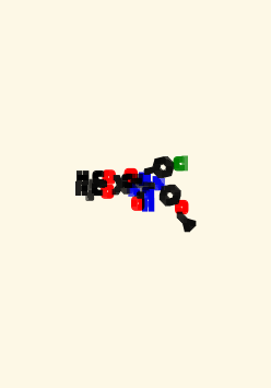 CC1(Cn2c(=O)[nH]/c(=N\c3ccc(OCC4CC4)cc3)n(Cc3ccc(Cl)cc3)c2=O)COC(C)(C)OC1